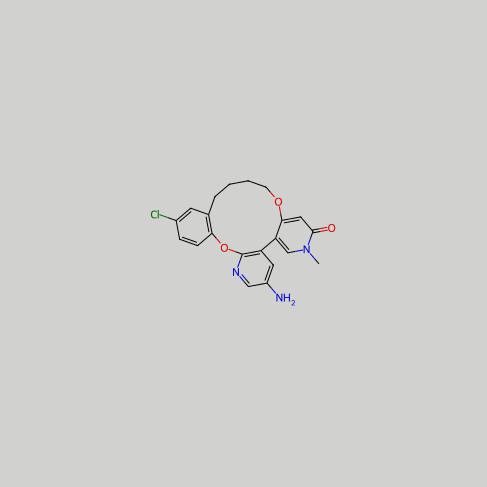 Cn1cc2c(cc1=O)OCCCCc1cc(Cl)ccc1Oc1ncc(N)cc1-2